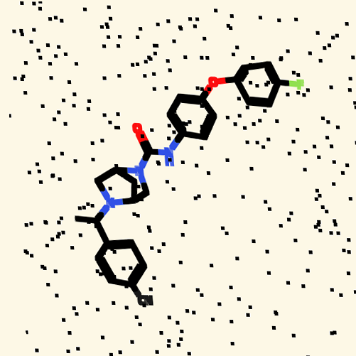 CC(c1ccc(C#N)cc1)N1CC2CC1CN2C(=O)Nc1ccc(Oc2ccc(F)cc2)cc1